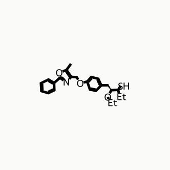 CCO[C@@H](Cc1ccc(OCc2nc(-c3ccccc3)oc2C)cc1)C(S)CC